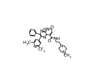 Cc1cc(-c2nc3c(C(=O)NCCN4CCN(C)CC4)cc(=O)[nH]c3nc2-c2ccccc2)cc(C(F)(F)F)n1